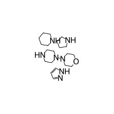 C1CCNC1.C1CCNCC1.C1CN(N2CCOCC2)CCN1.c1cn[nH]c1